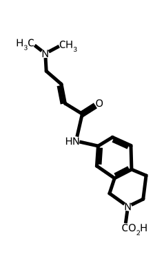 CN(C)C/C=C/C(=O)Nc1ccc2c(c1)CN(C(=O)O)CC2